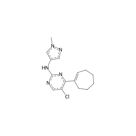 Cn1cc(Nc2ncc(Cl)c(C3=CCCCCC3)n2)cn1